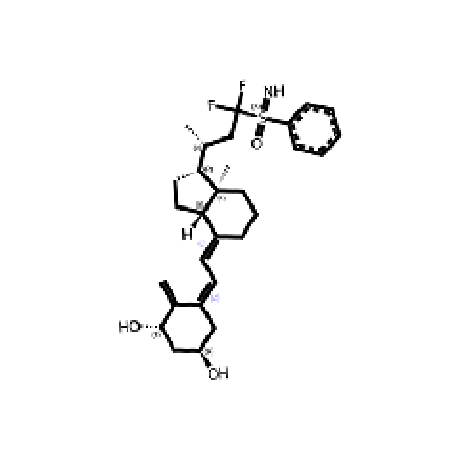 C=C1/C(=C\C=C2/CCC[C@]3(C)[C@@H]([C@H](C)CC(F)(F)[S@](=N)(=O)c4ccccc4)CC[C@@H]23)C[C@@H](O)C[C@@H]1O